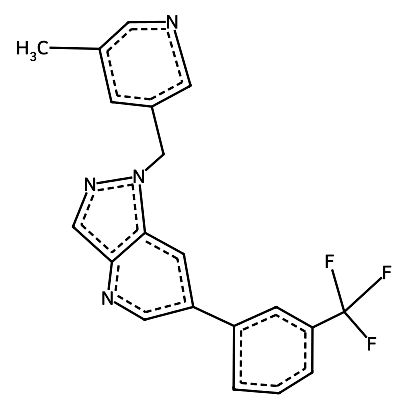 Cc1cncc(Cn2ncc3ncc(-c4cccc(C(F)(F)F)c4)cc32)c1